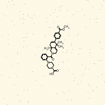 COC(=O)c1ccc(C2=CCC3(C)CN(C(=O)c4ccccc4N4CCN(C(=O)O)CC4)CC=C3C2(C)C)cc1